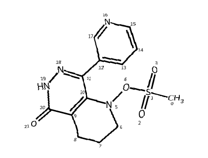 CS(=O)(=O)ON1CCCc2c1c(-c1cccnc1)n[nH]c2=O